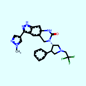 Cn1cc(-c2n[nH]c3cc4c(cc23)CN([C@@H]2CN(CC(F)(F)F)CC2c2ccccc2)C(=O)N4)cn1